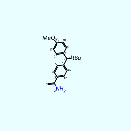 C=C(N)c1ccc(C(c2ccc(OC)cc2)C(C)(C)C)cc1